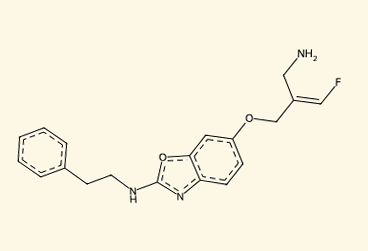 NC/C(=C\F)COc1ccc2nc(NCCc3ccccc3)oc2c1